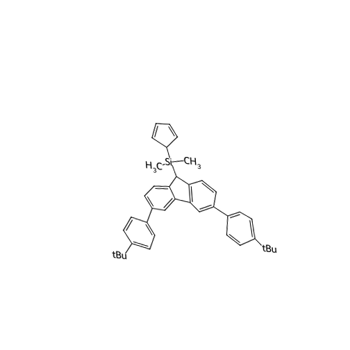 CC(C)(C)c1ccc(-c2ccc3c(c2)-c2cc(-c4ccc(C(C)(C)C)cc4)ccc2C3[Si](C)(C)C2C=CC=C2)cc1